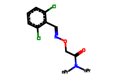 CCCN(CCC)C(=O)CO/N=C/c1c(Cl)cccc1Cl